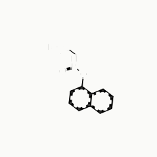 O=C(O)C[PH](=O)Oc1cccc2ccccc12